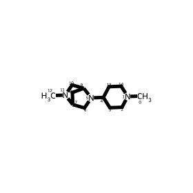 CN1CCC(N2CC3CC2CN3C)CC1